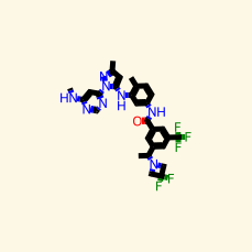 CNc1cc(-n2nc(C)cc2Nc2cc(NC(=O)c3cc(C(C)N4CC(F)(F)C4)cc(C(F)(F)F)c3)ccc2C)ncn1